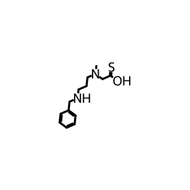 CN(CCCNCc1ccccc1)CC(O)=S